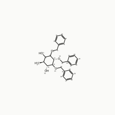 C[C@H]1C(O)C(OCc2ccccc2)[C@H](OCc2ccccc2)C(OCc2ccccc2)[C@@H]1O